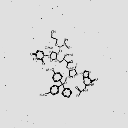 CCCCCN(C[C@H]1O[C@@H](n2ccc(=O)[nH]c2=O)[C@H](OC)[C@@H]1OP(OCCC#N)N(C(C)C)C(C)C)C(=O)C[C@H]1[C@@H](F)[C@H](n2cnc3c(=O)[nH]c(NC(=O)C(C)C)nc32)O[C@@H]1COC(c1ccccc1)(c1ccc(OC)cc1)c1ccc(OC)cc1